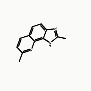 Cc1ccc2ccc3nc(C)[nH]c3c2n1